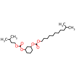 CC(C)CCCCCCCCCOC(=O)OC1CCCC(OC(=O)OCCC(C)C)C1